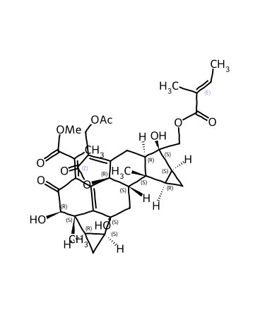 C/C=C(\C)C(=O)OC[C@]1(O)[C@H]2C[C@H]2[C@]2(C)[C@@H]3C[C@@]4(O)C5=C(/C(=C(\C)C(=O)OC)C(=O)[C@H](O)[C@@]5(C)[C@@H]5C[C@@H]54)[C@@]34OC(=O)C(COC(C)=O)=C4C[C@@H]12